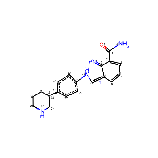 N=C1C(C(N)=O)=CC=C/C1=C/Nc1ccc([C@@H]2CCCNC2)cc1